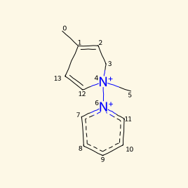 CC1=CC[N+](C)([n+]2ccccc2)C=C1